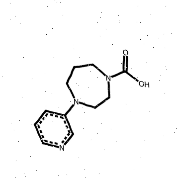 O=C(O)N1CCCN(c2cccnc2)CC1